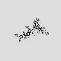 CC(O/N=C(\C(=O)N[C@@H]1C(=O)N(OS(=O)(=O)O)C1(C)C)c1csc(N)n1)(C(=O)O)[C@H]1CCc2cc(C(=N)N[C@H]3CN[C@H](CO)C3)ccc2O1